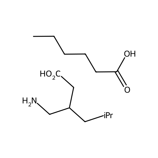 CC(C)CC(CN)CC(=O)O.CCCCCC(=O)O